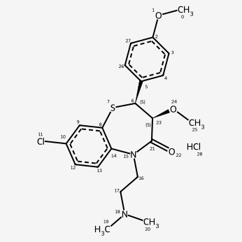 COc1ccc([C@@H]2Sc3cc(Cl)ccc3N(CCN(C)C)C(=O)[C@@H]2OC)cc1.Cl